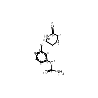 NC(=O)Oc1ccnc(C[C@H]2COCC(=O)N2)c1